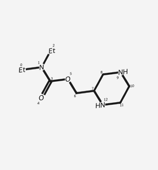 CCN(CC)C(=O)OCC1CNCCN1